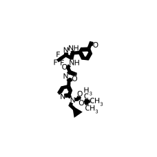 CC(C)(C)OC(=O)N(CC1CC1)c1cc(-c2nc(C(=O)Nc3c(C(F)(F)F)n[nH]c3-c3cccc(C=O)c3)co2)ccn1